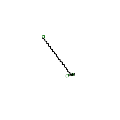 ClCCCCCCCCCCCCCCCCCCCCCCCCCCCC[SiH](Cl)Cl